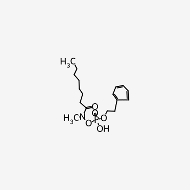 CCCCCCCC(=O)N(C)OP(=O)(O)OCCc1ccccc1